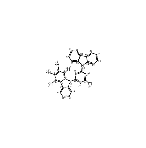 [2H]c1c([2H])c([2H])c2c(c1[2H])c1ccccc1n2-c1nc(Cl)nc(-n2c3ccccc3c3ccccc32)n1